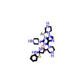 CC(=O)C1CNCCN1n1cnc2c(N3CCNCC3C(=O)CC3(N)Nc4ccccc4S3)nc(N3CCNCC3)nc21